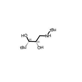 CC(C)(C)NC[C@H](O)[C@@H](O)C(C)(C)C